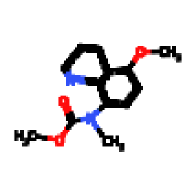 COC(=O)N(C)c1ccc(OC)c2cccnc12